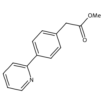 COC(=O)Cc1ccc(-c2ccccn2)cc1